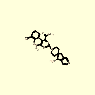 NC(=O)c1nc(N2CCC3(CC2)Cc2cnccc2[C@H]3N)nc(N)c1-c1cccc(Cl)c1Cl